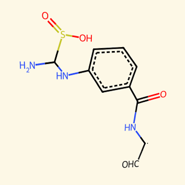 NC(Nc1cccc(C(=O)N[CH]C=O)c1)S(=O)O